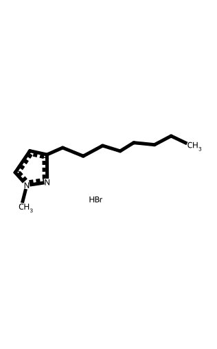 Br.CCCCCCCCc1ccn(C)n1